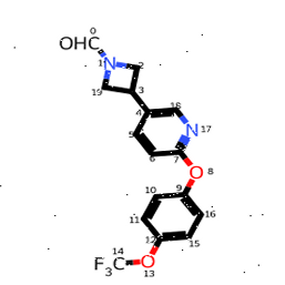 O=CN1CC(c2ccc(Oc3ccc(OC(F)(F)F)cc3)nc2)C1